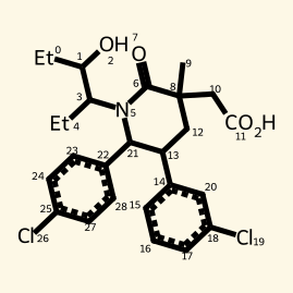 CCC(O)C(CC)N1C(=O)C(C)(CC(=O)O)CC(c2cccc(Cl)c2)C1c1ccc(Cl)cc1